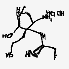 CC(N)[C@](CCS)(NC(=N)CF)C(=O)O.Cl.Cl